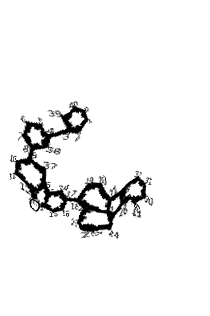 c1ccc(-c2cccc(-c3ccc4oc5ccc(-c6ccc7c8c(cccc68)-c6ccccc6-7)cc5c4c3)c2)cc1